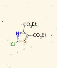 CCOC(=O)c1nc(Cl)sc1C(=O)OCC